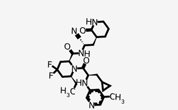 CC[C@H]1CC(F)(F)C[C@@H](C(=O)N[C@H](C#N)C[C@@H]2CCCNC2=O)N1C(=O)[C@@H](CC1CC1)Nc1cncc(C)c1